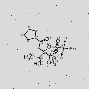 CC(C)S(CC(=O)C1CCCC1)(OS(=O)(=O)C(F)(F)F)C(C)C